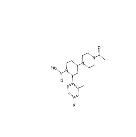 CC(=O)N1CCN(C2CCN(C(=O)O)C(c3ccc(F)cc3C)C2)CC1